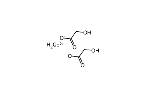 O=C([O-])CO.O=C([O-])CO.[GeH2+2]